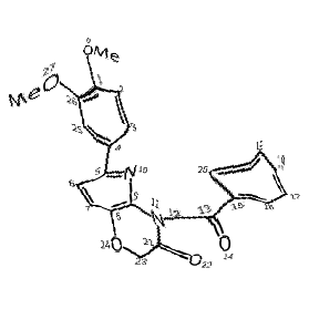 COc1ccc(-c2ccc3c(n2)N(CC(=O)c2ccccc2)C(=O)CO3)cc1OC